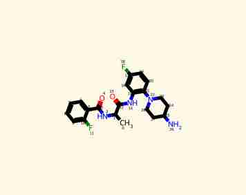 CC(NC(=O)c1ccccc1F)C(=O)Nc1cc(F)ccc1N1CCC(N)CC1